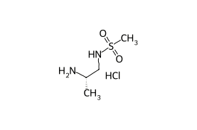 C[C@H](N)CNS(C)(=O)=O.Cl